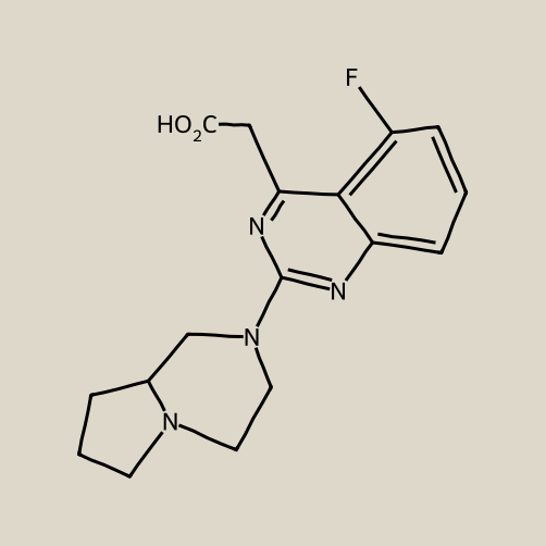 O=C(O)Cc1nc(N2CCN3CCCC3C2)nc2cccc(F)c12